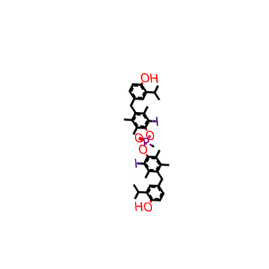 Cc1c(C)c(OP(C)(=O)Oc2c(C)c(C)c(Cc3ccc(O)c(C(C)C)c3)c(C)c2I)c(I)c(C)c1Cc1ccc(O)c(C(C)C)c1